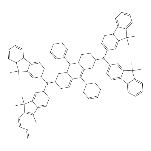 C=C/C=C\C1=C(C)C2=CCC(N(C3C=C4C(=CC3)C3C=CC=CC3C4(C)C)C3CC=C4C(C5CC=CCC5)=C5CC(N(C6=CCC7C(=C6)C(C)(C)c6ccccc67)c6ccc7c(c6)C(C)(C)c6ccccc6-7)CCC5C(C5=CCCC=C5)C4C3)C=C2C1(C)C